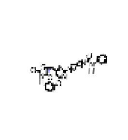 O=C1NC(=O)/C(=C\c2cc(Oc3ccccc3)nc(N3CC4(CN(C(=O)Nc5ccccc5)C4)C3)n2)S1